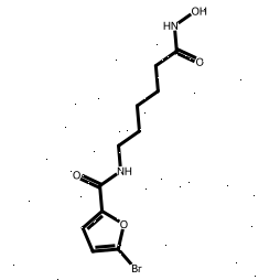 O=C(CCCCCNC(=O)c1ccc(Br)o1)NO